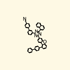 N#Cc1ccc(-c2cccc(-c3nc(-c4ccc5c(c4)oc4cccc(-c6ccc(-c7ccccc7)cc6)c45)nc(-c4cccc5ccccc45)n3)c2)cc1